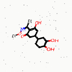 CCO/N=C(/CC)C1=C(O)CC(C2CCC(O)C(O)C2)CC1=O